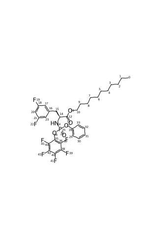 CCCCCCCCCCCOC(=O)[C@H](Cc1cc(F)cc(F)c1)N[P@](=O)(Oc1ccccc1)Oc1c(F)c(F)c(F)c(F)c1F